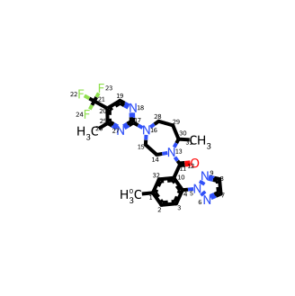 Cc1ccc(-n2nccn2)c(C(=O)N2CCN(c3ncc(C(F)(F)F)c(C)n3)CCC2C)c1